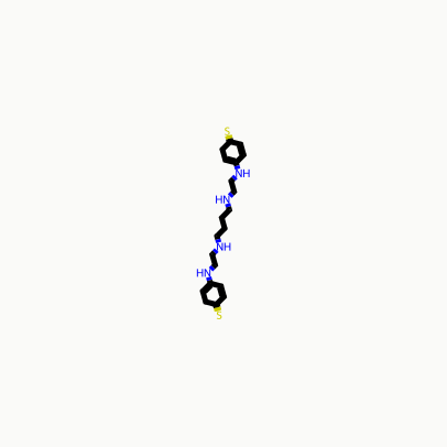 S=C1C=CC(NCCNCCCCNCCNC2=CCC(=S)C=C2)=CC1